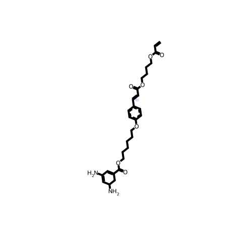 C=CC(=O)OCCCCOC(=O)/C=C/c1ccc(OCCCCCCOC(=O)C2=CC(N)=CC(N)C2)cc1